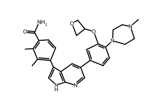 Cc1c(C(N)=O)ccc(-c2c[nH]c3ncc(-c4ccc(N5CCN(C)CC5)c(OC5COC5)c4)cc23)c1C